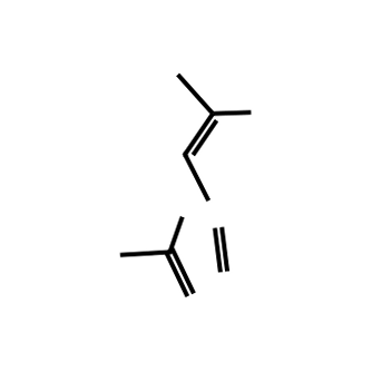 C=C.C=C(C)C.CC=C(C)C